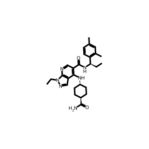 CC[C@@H](NC(=O)c1cnc2c(cnn2CC)c1N[C@H]1CC[C@H](C(N)=O)CC1)c1ccc(C)cc1C